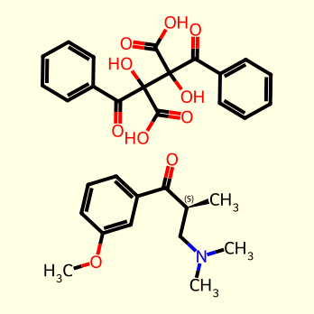 COc1cccc(C(=O)[C@@H](C)CN(C)C)c1.O=C(O)C(O)(C(=O)c1ccccc1)C(O)(C(=O)O)C(=O)c1ccccc1